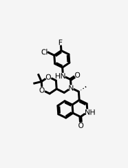 C[C@H](c1c[nH]c(=O)c2ccccc12)N(CC1COC(C)(C)OC1)C(=O)Nc1ccc(F)c(Cl)c1